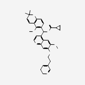 COc1cc2c(C(OC(=O)C3CC3)c3ccc4c(c3OC)C=CC(C)(C)O4)ccnc2cc1OCCC1=CCCN=C1